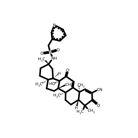 CC1(C)C(=O)C(C#N)=C[C@]2(C)C3=CC(=O)[C@]4(O)[C@@H]5C[C@@](C)(NS(=O)(=O)Cc6cccnc6)CC[C@]5(C)CC[C@@]4(C)[C@]3(C)CC[C@@H]12